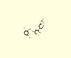 C[C@H](NC(=O)c1cnc(Cl)c(-c2ccn3nc(N)nc3c2)c1)c1cc(OC(F)(F)F)ccc1F